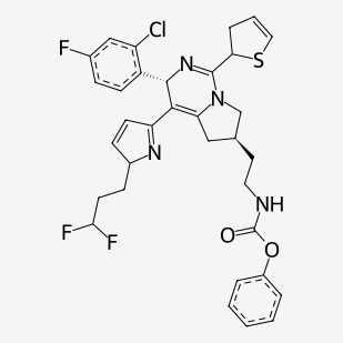 O=C(NCC[C@H]1CC2=C(C3=NC(CCC(F)F)C=C3)[C@H](c3ccc(F)cc3Cl)N=C(C3CC=CS3)N2C1)Oc1ccccc1